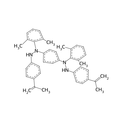 C=C(C)c1ccc(NN(c2ccc(N(Nc3ccc(C(=C)C)cc3)c3c(C)cccc3C)cc2)c2c(C)cccc2C)cc1